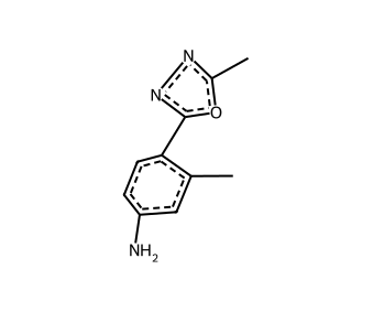 Cc1nnc(-c2ccc(N)cc2C)o1